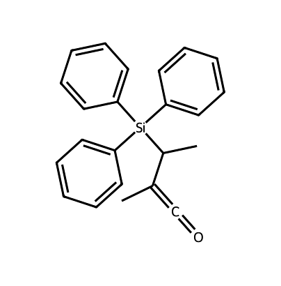 CC(=C=O)C(C)[Si](c1ccccc1)(c1ccccc1)c1ccccc1